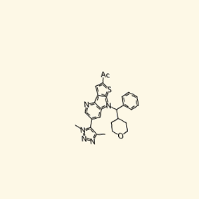 CC(=O)c1cc2c3ncc(-c4c(C)nnn4C)cc3n(C(c3ccccc3)C3CCOCC3)c2s1